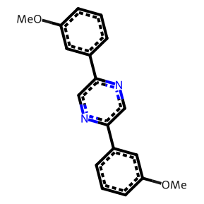 COc1cccc(-c2cnc(-c3cccc(OC)c3)cn2)c1